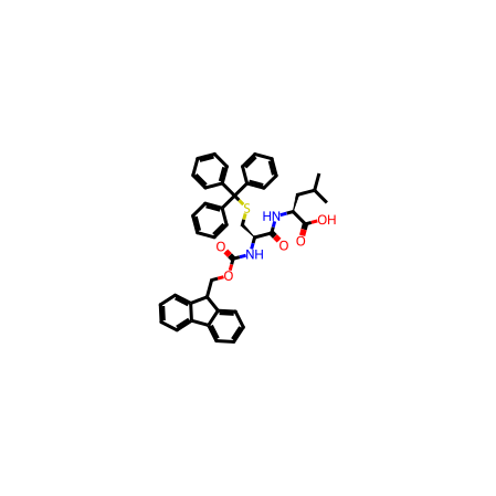 CC(C)C[C@H](NC(=O)[C@H](CSC(c1ccccc1)(c1ccccc1)c1ccccc1)NC(=O)OCC1c2ccccc2-c2ccccc21)C(=O)O